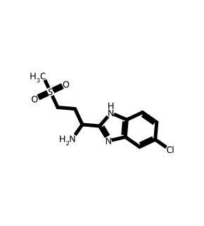 CS(=O)(=O)CCC(N)c1nc2cc(Cl)ccc2[nH]1